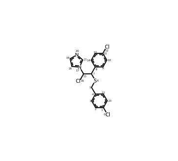 Clc1ccc(CSC(c2ccc(Cl)cc2)C(Cl)n2ccnc2)cc1